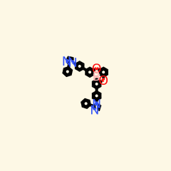 c1ccc(C2=NCCN2c2ccc(-c3ccc4c(c3)Oc3cccc5c3B4c3ccc(-c4ccc(N6CCN=C6c6ccccc6)cc4)cc3O5)cc2)cc1